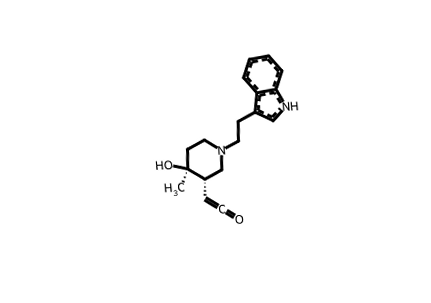 C[C@]1(O)CCN(CCc2c[nH]c3ccccc23)C[C@@H]1C=C=O